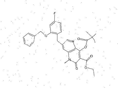 CCOC(=O)c1c(OC(=O)C(C)(C)C)c2ncc(Cc3ccc(F)cc3OCc3ccccc3)cc2n(C)c1=O